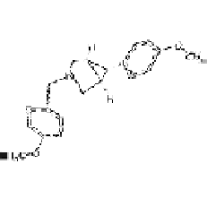 COc1ccc(CN2C[C@@H]3[C@H](C2)[C@H]3c2ccc(OC)cc2)cc1